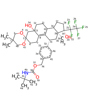 CC1(C)COC2(CCC3=C4C(CCC3(O)C2)C2CC[C@@](O)(C(F)(F)C(F)(F)F)[C@@]2(C)C[C@@H]4c2ccc(COC(=O)NC(C)(C)C)cc2)OC1